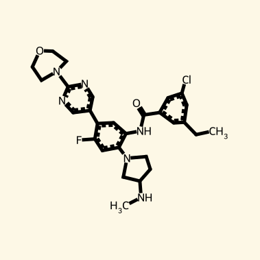 CCc1cc(Cl)cc(C(=O)Nc2cc(-c3cnc(N4CCOCC4)nc3)c(F)cc2N2CCC(NC)C2)c1